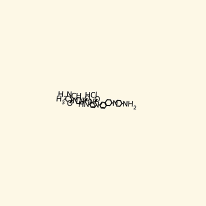 CC(C)(N)C(=O)N1CCN(C(=O)Nc2ccn(-c3ccc4c(c3)CCC(N3CCC(N)CC3)C4)c(=O)n2)CC1.Cl